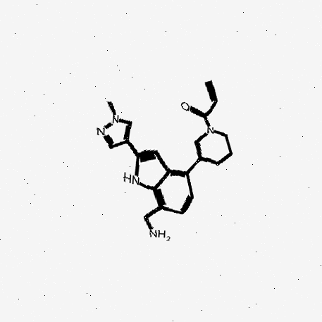 C=CC(=O)N1CCCC(c2ccc(CN)c3[nH]c(-c4cnn(C)c4)cc23)C1